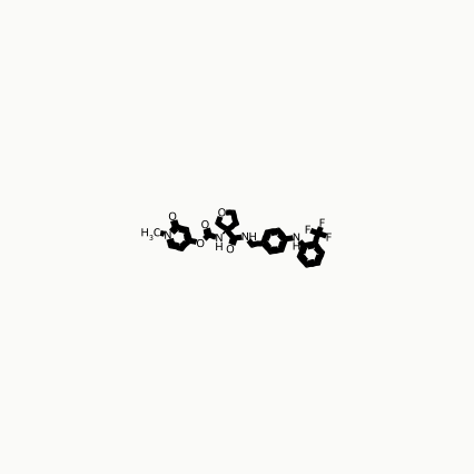 Cn1ccc(OC(=O)N[C@@]2(C(=O)NCc3ccc(Nc4ccccc4C(F)(F)F)cc3)CCOC2)cc1=O